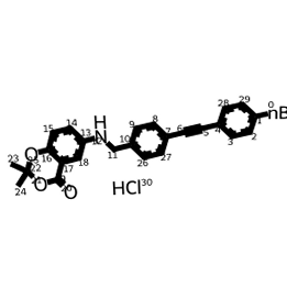 CCCCc1ccc(C#Cc2ccc(CNc3ccc4c(c3)C(=O)OC(C)(C)O4)cc2)cc1.Cl